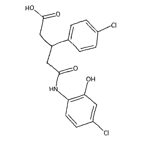 O=C(O)CC(CC(=O)Nc1ccc(Cl)cc1O)c1ccc(Cl)cc1